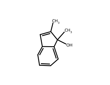 CC1=Cc2ccccc2C1(C)O